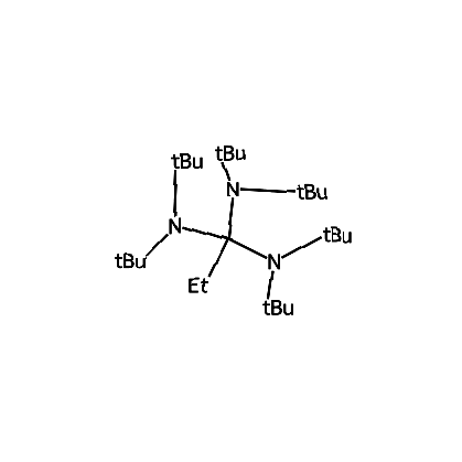 [CH2]CC(N(C(C)(C)C)C(C)(C)C)(N(C(C)(C)C)C(C)(C)C)N(C(C)(C)C)C(C)(C)C